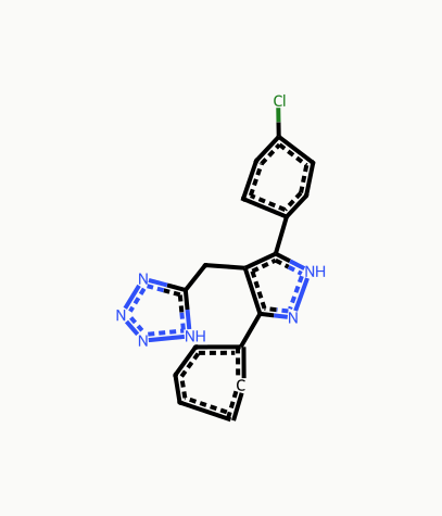 Clc1ccc(-c2[nH]nc(-c3ccccc3)c2Cc2nnn[nH]2)cc1